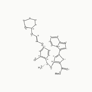 COC(=O)c1sc(-c2cnc3ccccn23)cc1O[C@H](C)c1ccc(OCCOC2CCCCO2)cc1Cl